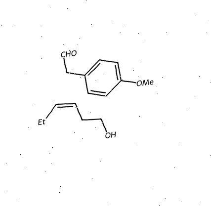 CC/C=C\CCO.COc1ccc(CC=O)cc1